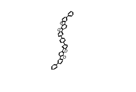 c1ccc(-c2ccc3oc4c(ccc5c6cc(-c7ccc(-c8ccc9oc%10c(ccc%11c%12cc(-c%13ccccc%13)ccc%12oc%11%10)c9c8)cc7)ccc6oc54)c3c2)cc1